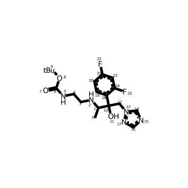 CC(NCCNC(=O)OC(C)(C)C)C(O)(Cn1cncn1)c1ccc(F)cc1F